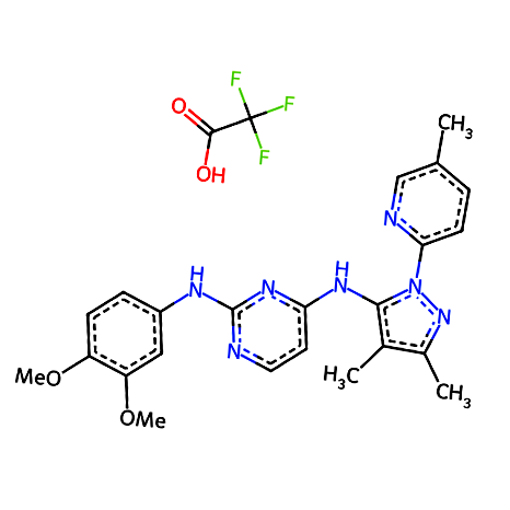 COc1ccc(Nc2nccc(Nc3c(C)c(C)nn3-c3ccc(C)cn3)n2)cc1OC.O=C(O)C(F)(F)F